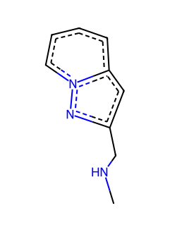 CNCc1cc2ccccn2n1